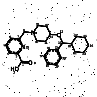 O=C(O)c1cccc(CN2CCC(OC(c3ccccc3)C3CCCCC3)CC2)n1